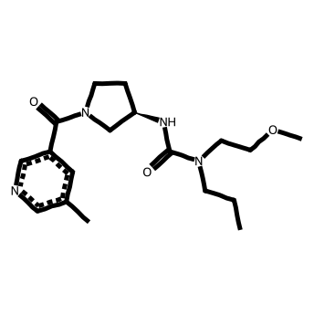 CCCN(CCOC)C(=O)N[C@@H]1CCN(C(=O)c2cncc(C)c2)C1